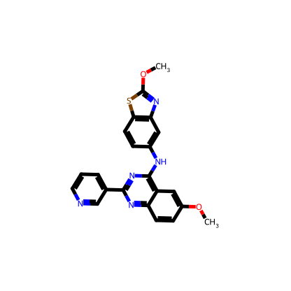 COc1ccc2nc(-c3cccnc3)nc(Nc3ccc4sc(OC)nc4c3)c2c1